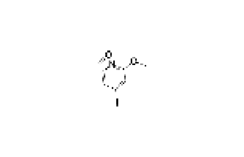 C=O.COc1cc(I)ccn1